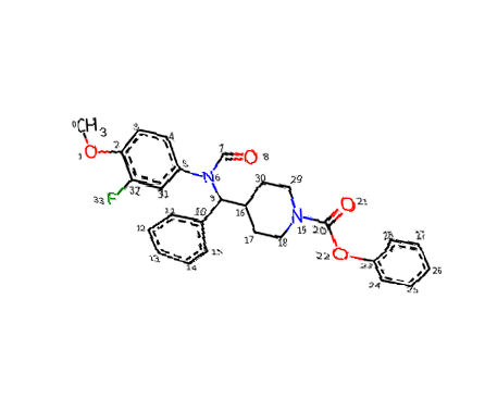 COc1ccc(N(C=O)C(c2ccccc2)C2CCN(C(=O)Oc3ccccc3)CC2)cc1F